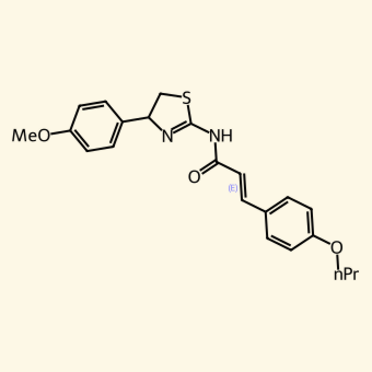 CCCOc1ccc(/C=C/C(=O)NC2=NC(c3ccc(OC)cc3)CS2)cc1